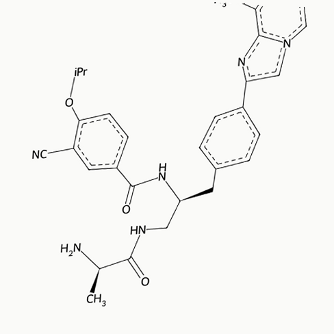 Cc1cccn2cc(-c3ccc(C[C@@H](CNC(=O)[C@@H](C)N)NC(=O)c4ccc(OC(C)C)c(C#N)c4)cc3)nc12